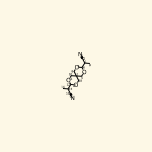 CC(C#N)C1OCC2(CO1)COC(C(C)C#N)OC2